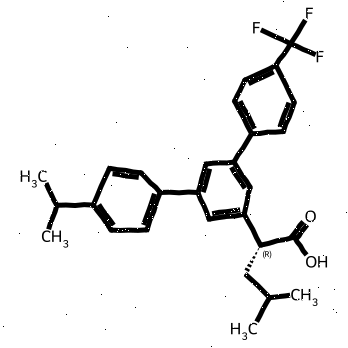 CC(C)C[C@@H](C(=O)O)c1cc(-c2ccc(C(C)C)cc2)cc(-c2ccc(C(F)(F)F)cc2)c1